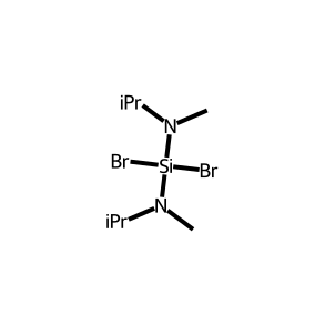 CC(C)N(C)[Si](Br)(Br)N(C)C(C)C